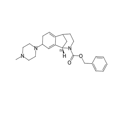 CN1CCN(C2C=C3C(=CC2)C2CCN(C(=O)OCc4ccccc4)[C@H]3C2)CC1